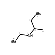 CCC(C)CNC(C)CC(C)(C)C